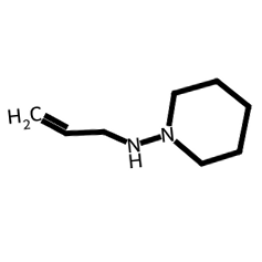 C=CCNN1CCCCC1